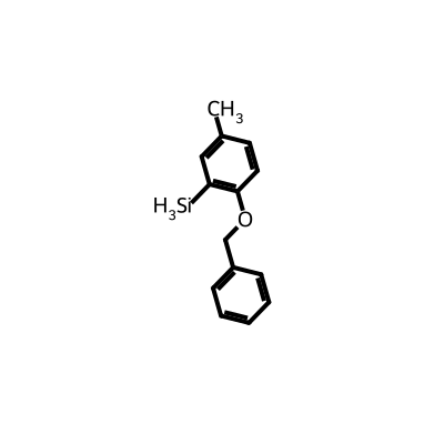 Cc1ccc(OCc2ccccc2)c([SiH3])c1